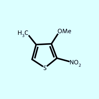 COc1c(C)csc1[N+](=O)[O-]